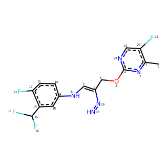 Cc1nc(OC/C(=C/Nc2ccc(F)c(C(F)F)c2)N=N)ncc1F